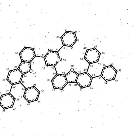 c1ccc(-c2nc(-c3cccc4c3oc3c(-c5ccccc5)c(-c5ccccc5)ccc34)nc(-c3cccc4c3oc3c(-c5ccccc5)c(-c5ccccc5)ccc34)n2)cc1